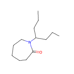 CCCC(CCC)N1CCCCCC1=O